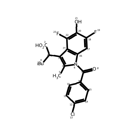 CCC(C)C(C(=O)O)c1c(C)n(C(=O)c2ccc(Cl)cc2)c2cc(F)c(O)c(F)c12